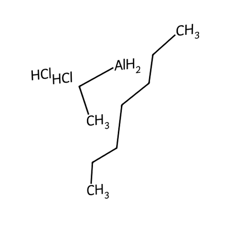 CCCCCCC.C[CH2][AlH2].Cl.Cl